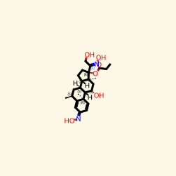 CCC(=O)O[C@]1(/C(CO)=N/O)CC[C@H]2[C@@H]3C[C@H](C)C4=CC(=NO)C=C[C@]4(C)[C@H]3[C@@H](O)C[C@@]21C